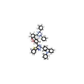 c1ccc(-c2nc(-c3ccccc3)nc(-c3cccc4oc5cc(-c6nc(-c7ccc8c9ccccc9n(-c9ccccc9)c8c7)nc7c6sc6ccccc67)ccc5c34)n2)cc1